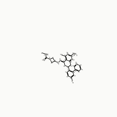 CNC(=O)N1CC(O/N=C2\CC(c3ccc(F)cc3-c3cccnc3)Cc3nc(N)nc(I)c32)C1